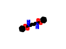 O=C(NCCCCNC(=O)Oc1ccccc1)Oc1ccccc1